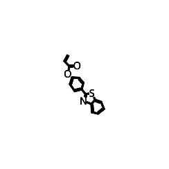 C=CC(=O)Oc1ccc(-c2nc3ccccc3s2)cc1